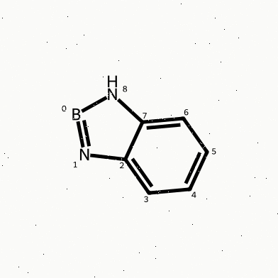 b1nc2ccccc2[nH]1